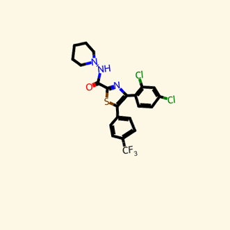 O=C(NN1CCCCC1)c1nc(-c2ccc(Cl)cc2Cl)c(-c2ccc(C(F)(F)F)cc2)s1